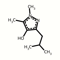 Cc1c(O)c(CC(C)C)nn1C